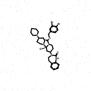 CC[C@]1(N2CCC(N3CCCCC3)CC2)CC(N2CCc3ccccc3NC2=O)CCN1C(=O)OCc1ccc(Br)c(Br)c1